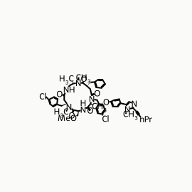 CCCC#Cc1ncc(-c2ccc(Oc3cc(Cl)ccc3CN3C(=O)C[C@@H](Cc4ccccc4)C(=O)N(C)[C@@H](C)CNC(=O)C[C@H](Cc4ccc(Cl)cc4)N(C)C(=O)[C@H](COC)NC(=O)[C@@H]3C)cc2)n1C